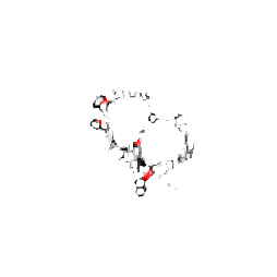 C[C@H](N)C(=O)N[C@H]1CSCc2cc3cc(c2)CSC[C@@H](NC(=O)[C@@H](C)NC(=O)[C@H](Cc2cccc4ccccc24)NC(=O)[C@H](CCC(=O)O)NC(=O)[C@H](CC(N)=O)NC(=O)[C@@H](C)NC1=O)C(=O)N[C@@H](CCC(=O)O)C(=O)N[C@@H](CC(=O)O)C(=O)N[C@@H](Cc1ccccc1)C(=O)N[C@@H](Cc1ccc(O)cc1)C(=O)N[C@@H](CC(=O)O)C(=O)N[C@@H](C(C)(C)C)C(=O)N[C@H](C(N)=O)CSC3